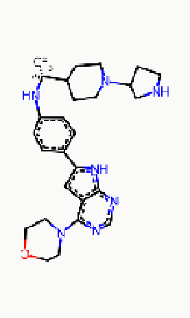 FC(F)(F)[C@@H](Nc1ccc(-c2cc3c(N4CCOCC4)ncnc3[nH]2)cc1)C1CCN(C2CCNC2)CC1